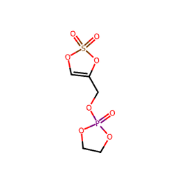 O=P1(OCC2=COS(=O)(=O)O2)OCCO1